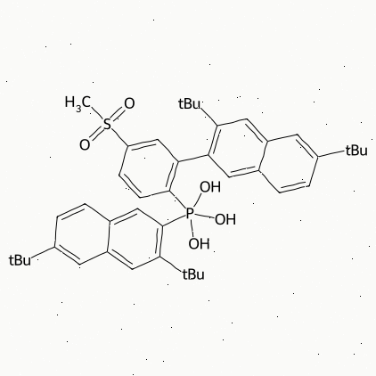 CC(C)(C)c1ccc2cc(-c3cc(S(C)(=O)=O)ccc3P(O)(O)(O)c3cc4ccc(C(C)(C)C)cc4cc3C(C)(C)C)c(C(C)(C)C)cc2c1